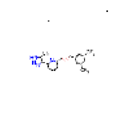 N#Cc1[nH]nnc1-c1cccc(COCc2cc(C(F)(F)F)cc(C(F)(F)F)c2)n1